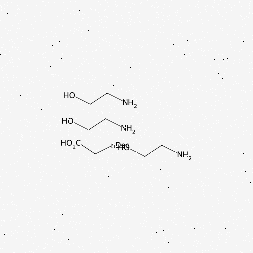 CCCCCCCCCCCC(=O)O.NCCO.NCCO.NCCO